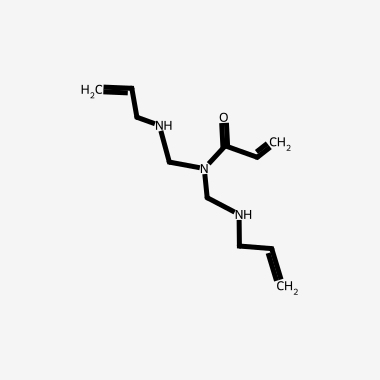 C=CCNCN(CNCC=C)C(=O)C=C